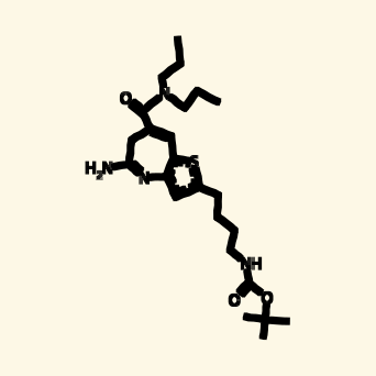 CCCN(CCC)C(=O)C1=Cc2sc(CCCCNC(=O)OC(C)(C)C)cc2N=C(N)C1